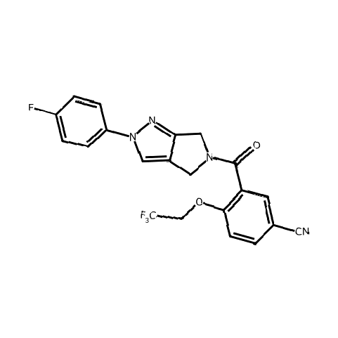 N#Cc1ccc(OCC(F)(F)F)c(C(=O)N2Cc3cn(-c4ccc(F)cc4)nc3C2)c1